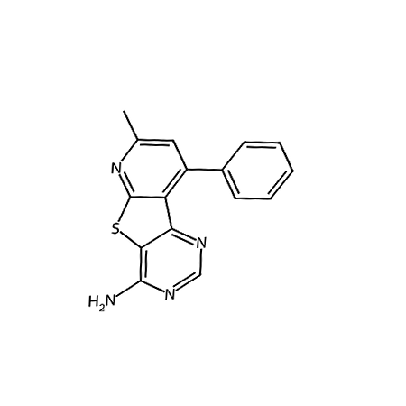 Cc1cc(-c2ccccc2)c2c(n1)sc1c(N)ncnc12